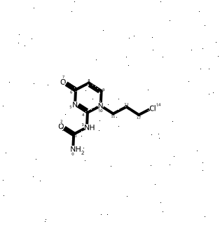 NC(=O)Nc1nc(=O)ccn1CCCCl